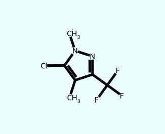 Cc1c(C(F)(F)F)nn(C)c1Cl